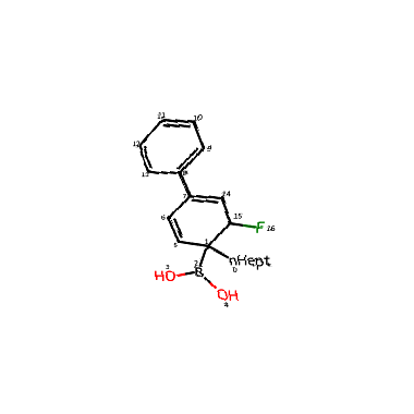 CCCCCCCC1(B(O)O)C=CC(c2ccccc2)=CC1F